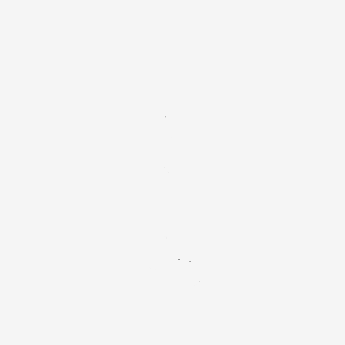 CCCCCCCCCC[n+]1csc2ccccc21